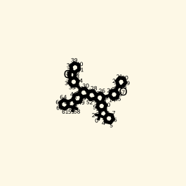 CC1(C)c2ccccc2-c2cc3c(-c4ccc5oc6ccccc6c5c4)cc4cc5cc(-c6ccc7oc8ccccc8c7c6)c6cc7c(cc6c5cc4c3cc21)C(C)(C)c1ccccc1-7